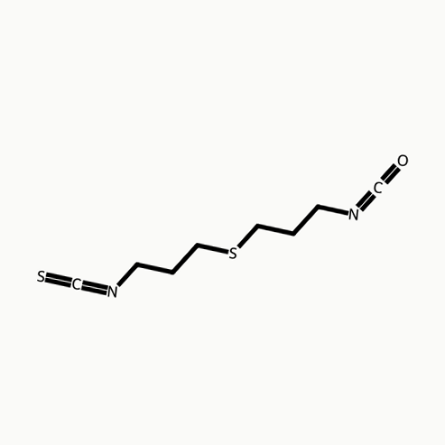 O=C=NCCCSCCCN=C=S